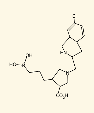 O=C(O)C1CN(CC2CC3C=CC(Cl)=CC3CN2)CC1CCCB(O)O